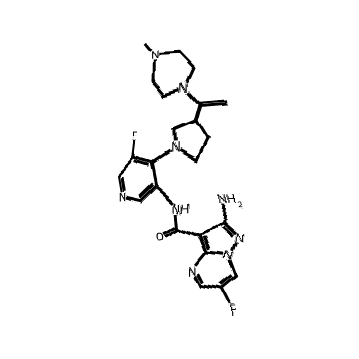 C=C(C1CCN(c2c(F)cncc2NC(=O)c2c(N)nn3cc(F)cnc23)C1)N1CCN(C)CC1